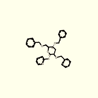 c1ccc(COCC2O[C@@H](Sc3ccccn3)C(OCc3ccccc3)C[C@H]2OCc2ccccc2)cc1